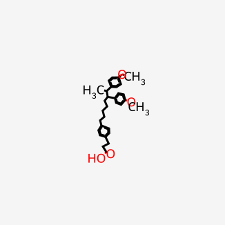 COc1ccc(C(C)C(CCCCCc2ccc(CCC(=O)O)cc2)c2ccc(OC)cc2)cc1